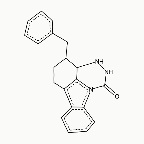 O=C1NNC2c3c(c4ccccc4n31)CCC2Cc1ccccc1